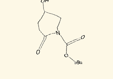 CCCCOC(=O)N1CC(O)CC1=O